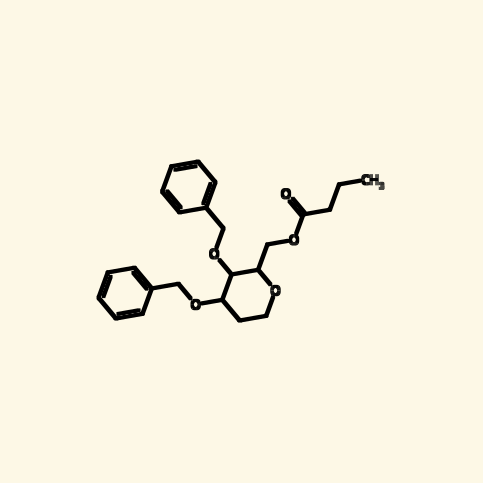 CCCC(=O)OCC1OCCC(OCc2ccccc2)C1OCc1ccccc1